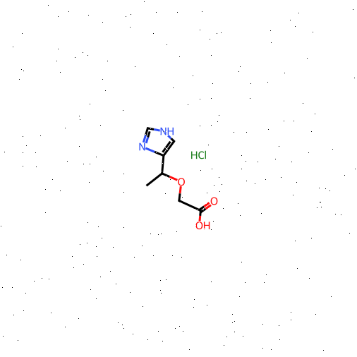 CC(OCC(=O)O)c1c[nH]cn1.Cl